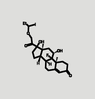 CCC(I)OCC(=O)[C@@]1(O)CC[C@H]2[C@@H]3CCC4=CC(=O)CC[C@]4(C)[C@@]3(F)[C@@H](O)C[C@@]21C